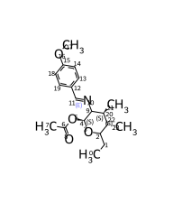 CCC1O[C@@H](OC(C)=O)C(/N=C/c2ccc(OC)cc2)[C@@H](C)[C@@H]1C